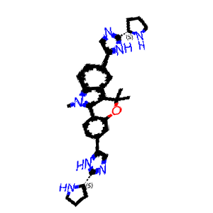 Cn1c2c(c3cc(-c4cnc([C@@H]5CCCN5)[nH]4)ccc31)C(C)(C)Oc1cc(-c3cnc([C@@H]4CCCN4)[nH]3)ccc1-2